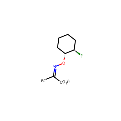 CC(=O)C(=NO[C@@H]1CCCC[C@H]1F)C(=O)O